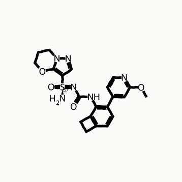 COc1cc(-c2ccc3c(c2NC(=O)N=[S@](N)(=O)c2cnn4c2OCCC4)CC3)ccn1